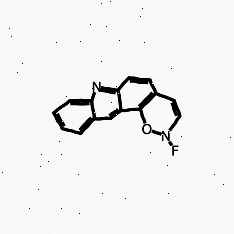 FN1C=Cc2ccc3nc4ccccc4cc3c2O1